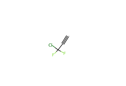 [C]#CC(F)(F)Cl